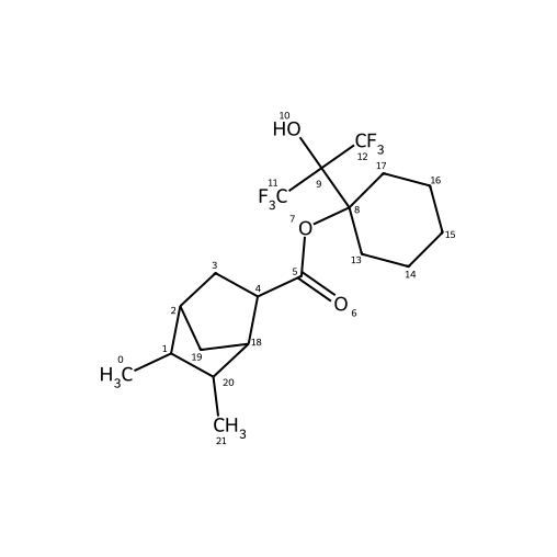 CC1C2CC(C(=O)OC3(C(O)(C(F)(F)F)C(F)(F)F)CCCCC3)C(C2)C1C